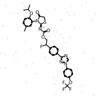 Cc1ccc(OC(C)C)c(N2C(=O)CS/C2=N\C(=O)OCC(F)c2ccc(-c3ncn(-c4ccc(OC(F)(F)F)cc4)n3)cc2)c1